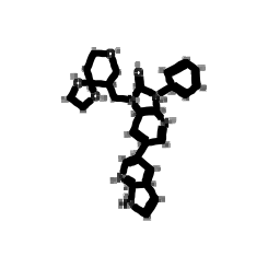 O=c1n(CC2COCCC23OCCO3)c2cc(-c3cnc4[nH]ccc4c3)cnc2n1-c1ccccc1